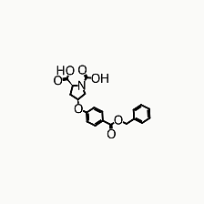 O=C(OCc1ccccc1)c1ccc(O[C@H]2C[C@@H](C(=O)O)N(C(=O)O)C2)cc1